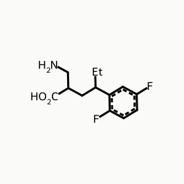 CCC(CC(CN)C(=O)O)c1cc(F)ccc1F